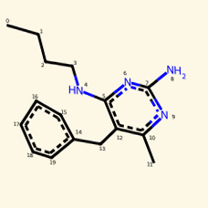 CCCCNc1nc(N)nc(C)c1Cc1ccccc1